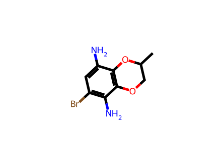 CC1COc2c(N)c(Br)cc(N)c2O1